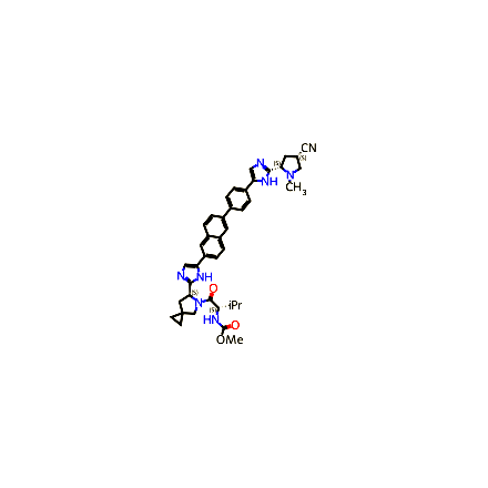 COC(=O)N[C@H](C(=O)N1CC2(CC2)C[C@H]1c1ncc(-c2ccc3cc(-c4ccc(-c5cnc([C@@H]6C[C@H](C#N)CN6C)[nH]5)cc4)ccc3c2)[nH]1)C(C)C